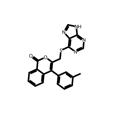 Cc1cccc(-c2c(CSc3ncnc4[nH]cnc34)oc(=O)c3ccccc23)c1